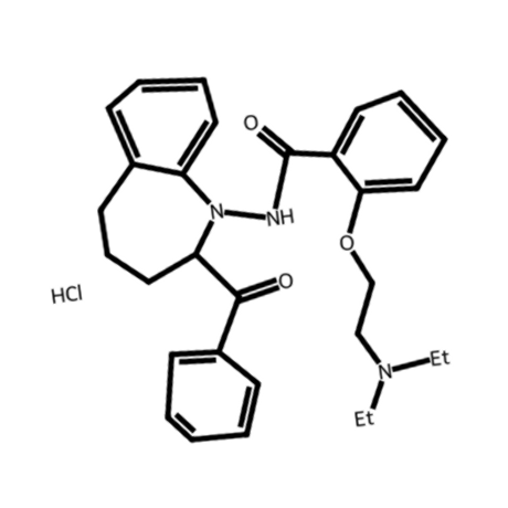 CCN(CC)CCOc1ccccc1C(=O)NN1c2ccccc2CCCC1C(=O)c1ccccc1.Cl